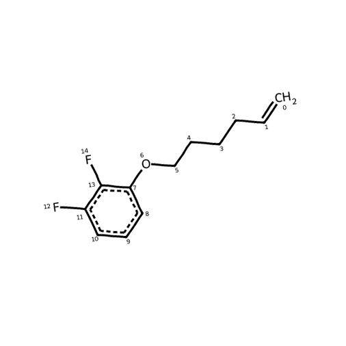 C=CCCCCOc1cccc(F)c1F